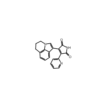 O=C1NC(=O)C(c2cn3c4c(cccc24)CCC3)=C1c1ccccn1